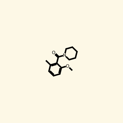 COc1cccc(C)c1C(=O)N1CCCCC1